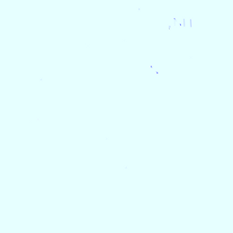 C1=C(Cc2c[nH]cn2)COc2ccccc21